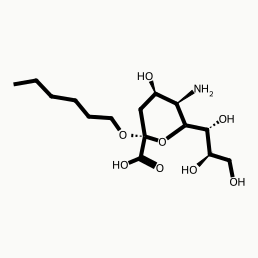 CCCCCCO[C@]1(C(=O)O)C[C@@H](O)[C@@H](N)C([C@H](O)[C@H](O)CO)O1